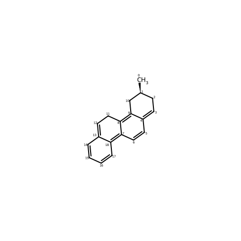 C[C@H]1CC=c2ccc3c(c2C1)CC=c1ccccc1=3